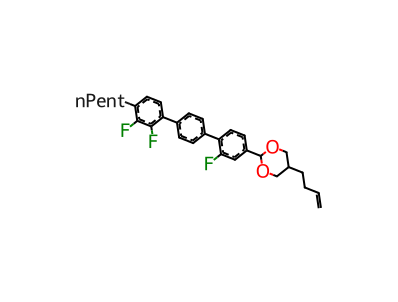 C=CCCC1COC(c2ccc(-c3ccc(-c4ccc(CCCCC)c(F)c4F)cc3)c(F)c2)OC1